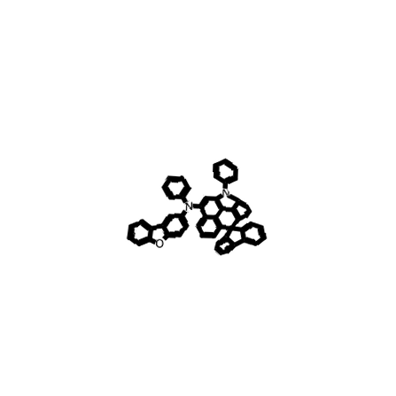 c1ccc(N(c2ccc3oc4ccccc4c3c2)c2cc3c4c5c(cccc25)C2(c5ccccc5-c5ccccc52)c2cccc(c24)n3-c2ccccc2)cc1